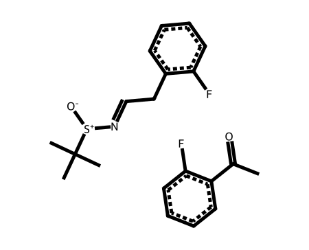 CC(=O)c1ccccc1F.CC(C)(C)[S+]([O-])N=CCc1ccccc1F